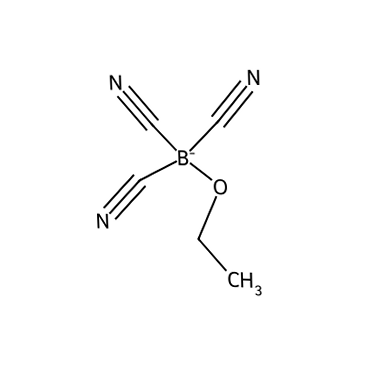 CCO[B-](C#N)(C#N)C#N